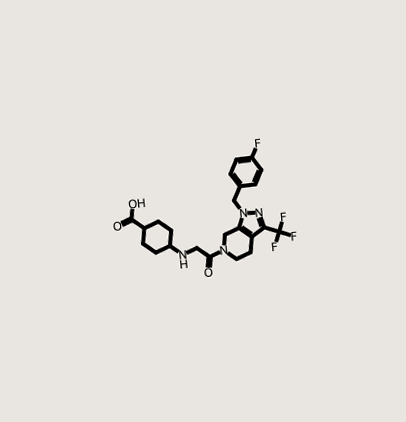 O=C(O)C1CCC(NCC(=O)N2CCc3c(C(F)(F)F)nn(Cc4ccc(F)cc4)c3C2)CC1